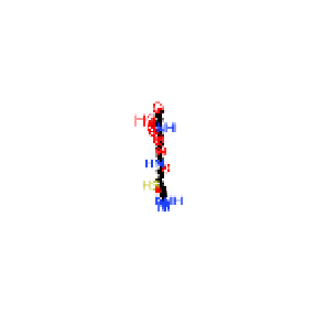 CC(S)(CCCCC(=O)NCCOCCOCC(=O)NC(CCC=O)C(=O)O)CC(C)(C)c1nnn[nH]1